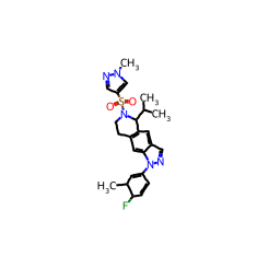 CC(C)C1c2cc3cnn(C4=CC(C)C(F)C=C4)c3cc2CCN1S(=O)(=O)c1cnn(C)c1